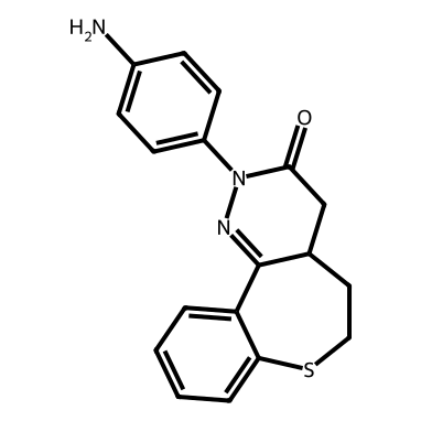 Nc1ccc(N2N=C3c4ccccc4SCCC3CC2=O)cc1